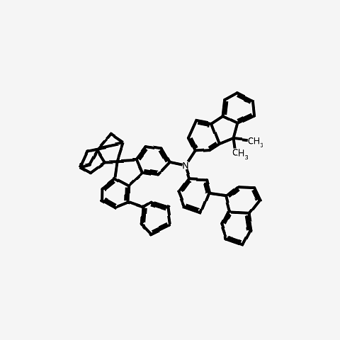 CC1(C)c2ccccc2-c2ccc(N(c3cccc(-c4cccc5ccccc45)c3)c3ccc4c(c3)-c3c(-c5ccccc5)cccc3C43C4CC5CC(C4)C3C5)cc21